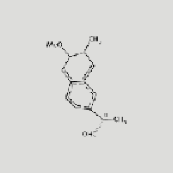 COC1C=c2ccc([C@H](C)C=O)cc2=CC1C